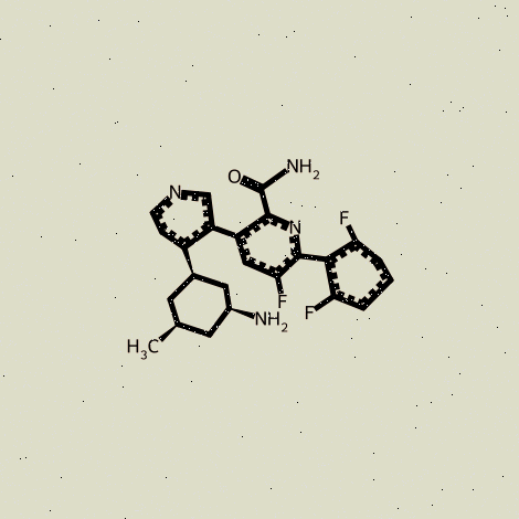 C[C@@H]1C[C@H](N)C[C@H](c2ccncc2-c2cc(F)c(-c3c(F)cccc3F)nc2C(N)=O)C1